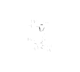 OCC1O[C@@H](OCCc2cc(O)c(O)c(O)c2)C(O)[C@@H](O)[C@@H]1O